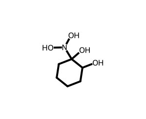 OC1CCCCC1(O)N(O)O